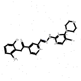 Cc1cccc(Cl)c1CC(=O)c1ccnc(/C=N/Nc2ncc(F)c(N3CCOCC3)n2)c1